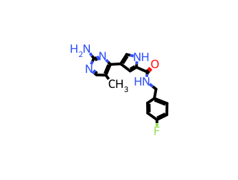 Cc1cnc(N)nc1-c1c[nH]c(C(=O)NCc2ccc(F)cc2)c1